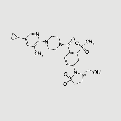 Cc1cc(C2CC2)cnc1N1CCN(C(=O)c2ccc(N3[C@H](CO)CCS3(=O)=O)cc2S(C)(=O)=O)CC1